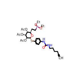 C#CCCCCNC(=O)Nc1ccc(S[C@H]2O[C@H](CCP(OCC)OCC)[C@@H](OC(C)=O)[C@H](OC(C)=O)[C@@H]2OC(C)=O)cc1